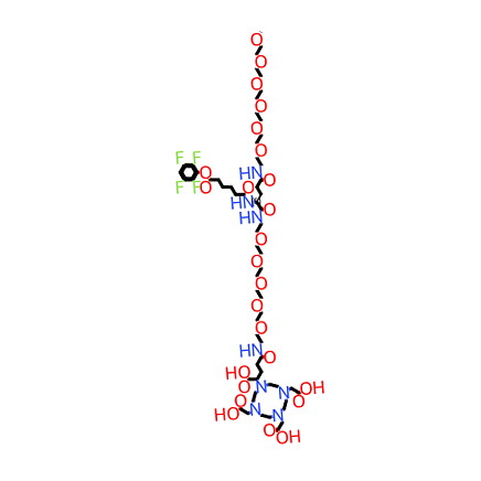 COCCOCCOCCOCCOCCOCCNC(=O)CC[C@H](NC(=O)CCCCC(=O)Oc1c(F)c(F)cc(F)c1F)C(=O)NCCOCCOCCOCCOCCOCCNC(=O)CCC(C(=O)O)N1CCN(CC(=O)O)CCN(CC(=O)O)CCN(CC(=O)O)CC1